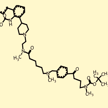 CN(CCCCCC(=O)N(C)CCN1CCC(c2cccc(-c3ccccc3)c2NC(=O)O)CC1)Cc1ccc(C(=O)CCCN(C)C(=O)OC(C)(C)C)cc1